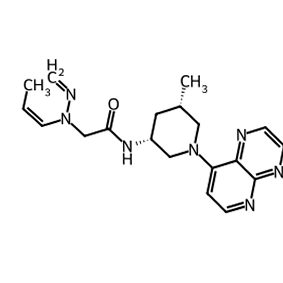 C=NN(/C=C\C)CC(=O)N[C@@H]1C[C@H](C)CN(c2ccnc3nccnc23)C1